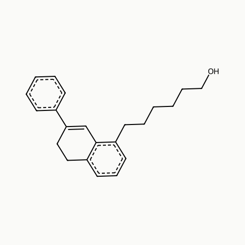 OCCCCCCc1cccc2c1C=C(c1ccccc1)CC2